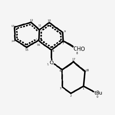 CC(C)(C)C1CCC(Oc2c(C=O)ccc3ccccc23)CC1